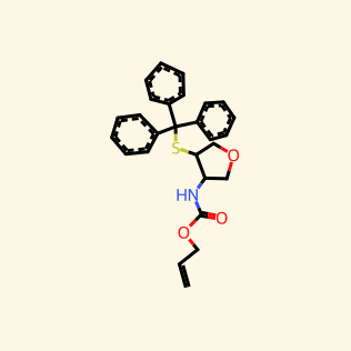 C=CCOC(=O)NC1COCC1SC(c1ccccc1)(c1ccccc1)c1ccccc1